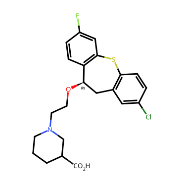 O=C(O)C1CCCN(CCO[C@@H]2Cc3cc(Cl)ccc3Sc3cc(F)ccc32)C1